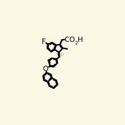 CC1=C(CC(=O)O)c2cc(F)ccc2/C1=C\c1ccc(Oc2ccc3ccccc3c2)cc1